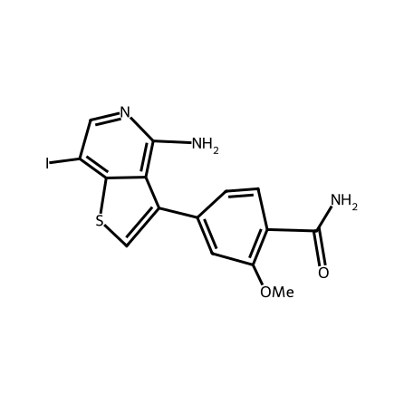 COc1cc(-c2csc3c(I)cnc(N)c23)ccc1C(N)=O